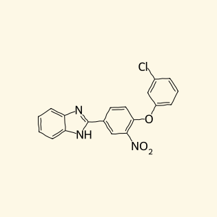 O=[N+]([O-])c1cc(-c2nc3ccccc3[nH]2)ccc1Oc1cccc(Cl)c1